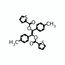 Cc1ccc(/C(OC(=O)c2cccs2)=C(\OC(=O)c2cccs2)c2ccc(C)cc2)cc1